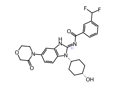 O=C(/N=c1\[nH]c2cc(N3CCOCC3=O)ccc2n1[C@H]1CC[C@@H](O)CC1)c1cccc(C(F)F)c1